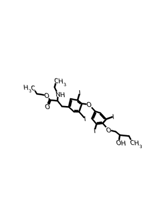 CCNC(Cc1cc(I)c(Oc2cc(I)c(OCC(O)CC)c(I)c2)c(I)c1)C(=O)OCC